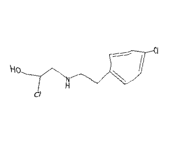 OC(Cl)CNCCc1ccc(Cl)cc1